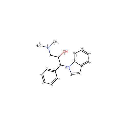 CN(C)CC(O)C(c1ccccc1)n1ccc2ccccc21